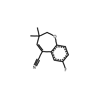 CC1(C)C=C(C#N)c2cc(F)ccc2OC1